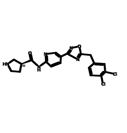 O=C(Nc1ccc(-c2noc(Cc3ccc(Cl)c(Cl)c3)n2)cn1)[C@H]1CCNC1